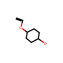 C=COC1CCC([O])CC1